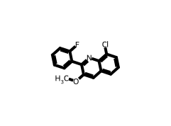 COc1cc2cccc(Cl)c2nc1-c1ccccc1F